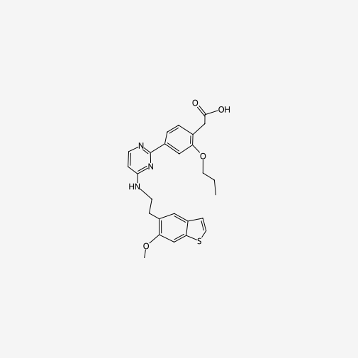 CCCOc1cc(-c2nccc(NCCc3cc4ccsc4cc3OC)n2)ccc1CC(=O)O